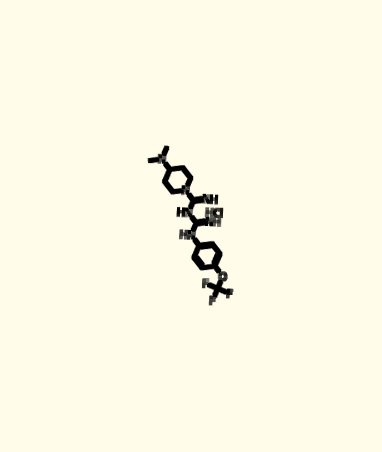 CN(C)C1CCN(C(=N)NC(=N)Nc2ccc(OC(F)(F)F)cc2)CC1.Cl